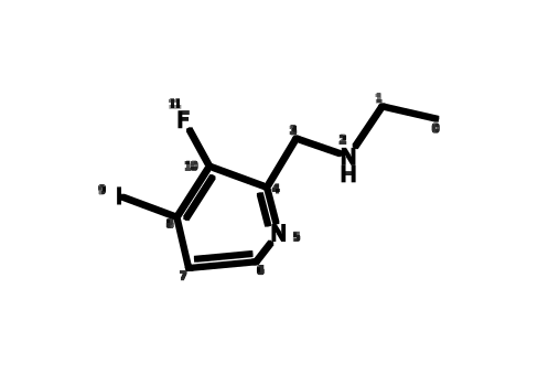 CCNCc1nccc(I)c1F